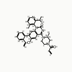 C=CC(=[18O])N1CCN(c2nc(=O)n(-c3c(C)ccnc3C(C)C)c3nc(-c4ccccc4C=C)c(Cl)cc23)[C@@H](C)C1